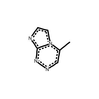 Cc1cnnc2nccn12